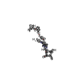 C#C[C@H]1CC(F)(F)CN1C(=O)CNC(=O)c1ccnc2ccc(OCCCCC3CCN(C(=O)CCCCCC(=O)N/N=C\C(C/C=N/NCN/N=C/c4ccc(C)cc4)NC(=O)CN4CCN(COC=O)CCN(COC=O)CCN(CC(=O)O)CC4)CC3)cc12